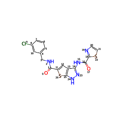 O=C(NCc1cccc(Cl)c1)c1cc2c(NC(=O)c3nccs3)n[nH]c2s1